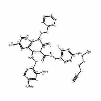 C#CCCCCO.COc1ccc(CNc2c(C(=O)NCc3ccc(F)cc3F)c(=O)n(OCc3ccccc3)c3ncc(Br)cc23)c(OC)c1